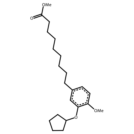 COC(=O)CCCCCCCCc1ccc(OC)c(OC2CCCC2)c1